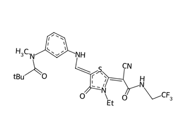 CCn1c(=C(C#N)C(=O)NCC(F)(F)F)sc(=CNc2cccc(N(C)C(=O)C(C)(C)C)c2)c1=O